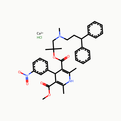 COC(=O)C1=C(C)NC(C)=C(C(=O)OC(C)(C)CN(C)CCC(c2ccccc2)c2ccccc2)C1c1cccc([N+](=O)[O-])c1.Cl.[Ca+2]